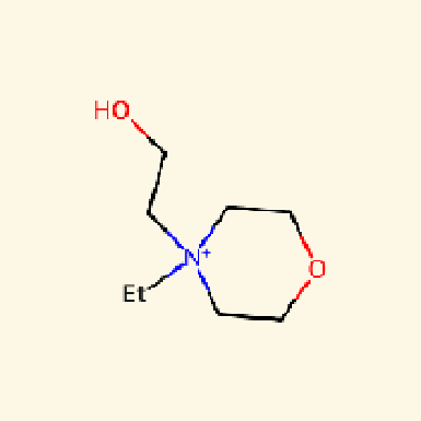 [CH2]C[N+]1(CCO)CCOCC1